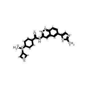 Cc1ncc(-c2ccc3nnc(NC(=O)C4CCC(N(C)C5COC5)CC4)cc3c2)o1